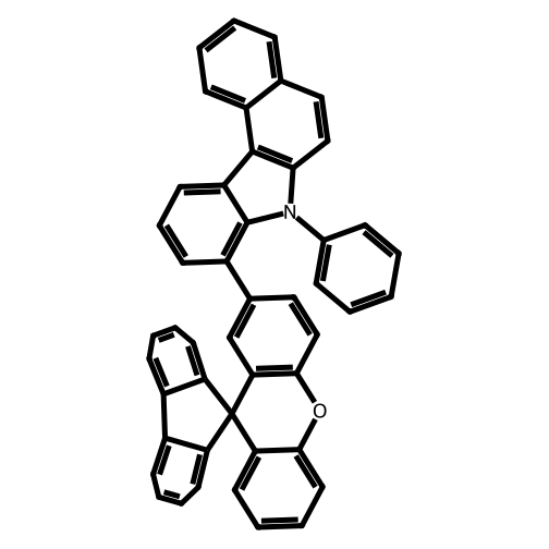 c1ccc(-n2c3ccc4ccccc4c3c3cccc(-c4ccc5c(c4)C4(c6ccccc6O5)c5ccccc5-c5ccccc54)c32)cc1